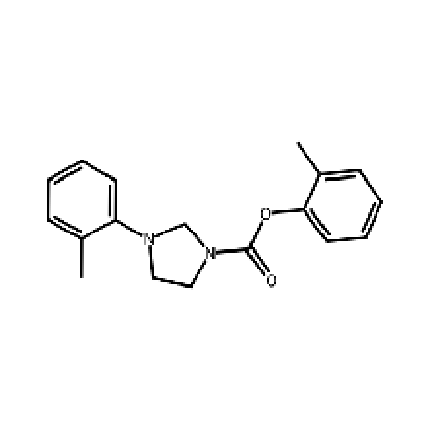 Cc1ccccc1OC(=O)N1CCN(c2ccccc2C)C1